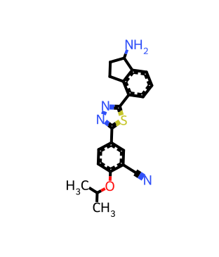 CC(C)Oc1ccc(-c2nnc(-c3cccc4c3CCC4N)s2)cc1C#N